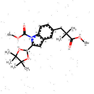 CC(C)(C)OC(=O)n1c(B2OC(C)(C)C(C)(C)O2)cc2cc(CC(C)(C)C(=O)OC(C)(C)C)ccc21